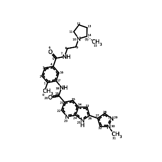 Cc1ccc(C(=O)NCCN2CCC[C@@H]2C)cc1NC(=O)c1cnc2[nH]c(-c3cnn(C)c3)cc2c1